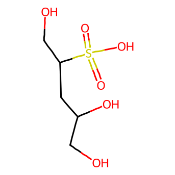 O=S(=O)(O)C(CO)CC(O)CO